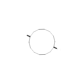 O=C1CCCCCCC(=O)CCCCCC1